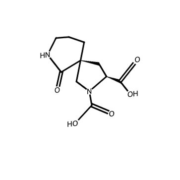 O=C(O)[C@@H]1C[C@@]2(CCCNC2=O)CN1C(=O)O